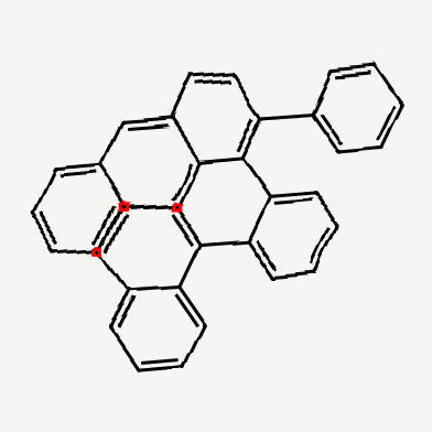 c1ccc(-c2ccc3cc4ccccc4cc3c2-c2ccccc2-c2cccc3ccccc23)cc1